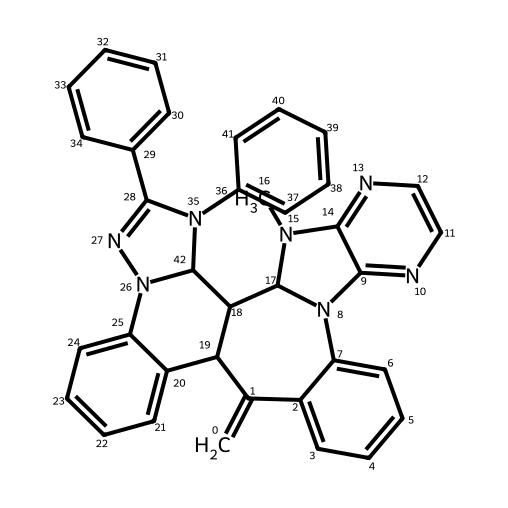 C=C1c2ccccc2N2c3nccnc3N(C)C2C2C1c1ccccc1N1N=C(c3ccccc3)N(c3ccccc3)C21